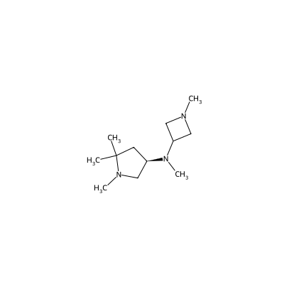 CN1CC(N(C)[C@H]2CN(C)C(C)(C)C2)C1